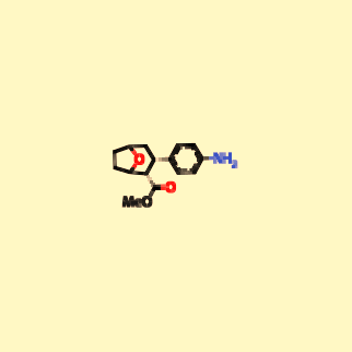 COC(=O)[C@@H]1C2CCC(C[C@@H]1c1ccc(N)cc1)O2